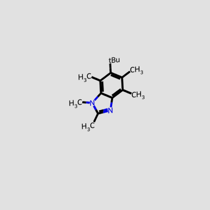 Cc1c(C(C)(C)C)c(C)c2c(nc(C)n2C)c1C